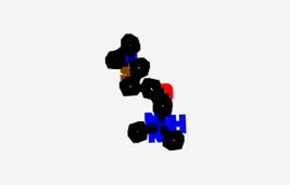 c1ccc(C2=NC(c3ccccc3)NC(c3ccc4oc5ccc(-c6cccc7sc8c(-n9c%10ccccc%10c%10ccccc%109)cccc8c67)cc5c4c3)=N2)cc1